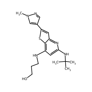 Cn1cc(-c2cc3nc(NC(C)(C)C)cc(NCCCO)c3s2)cn1